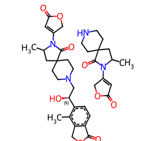 CC1CC2(CCNCC2)C(=O)N1C1=CC(=O)OC1.Cc1c([C@@H](O)CN2CCC3(CC2)CC(C)N(C2=CC(=O)OC2)C3=O)ccc2c1COC2=O